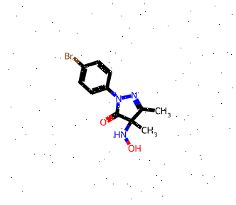 CC1=NN(c2ccc(Br)cc2)C(=O)C1(C)NO